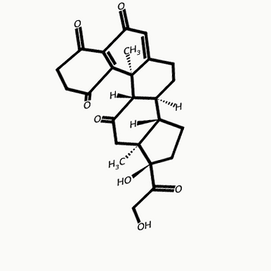 C[C@@]12C(=CC(=O)C3=C1C(=O)CCC3=O)CC[C@@H]1[C@@H]2C(=O)C[C@@]2(C)[C@H]1CC[C@]2(O)C(=O)CO